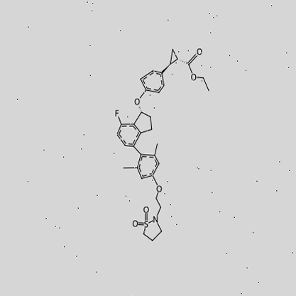 CCOC(=O)[C@H]1C[C@@H]1c1ccc(O[C@@H]2CCc3c(-c4c(C)cc(OCCN5CCCS5(=O)=O)cc4C)ccc(F)c32)cc1